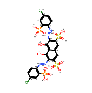 O=P(O)(O)c1cc(Cl)ccc1N=Nc1c(S(=O)(=O)O)cc2cc(S(=O)(=O)O)c(N=Nc3ccc(Cl)cc3P(=O)(O)O)c(O)c2c1O